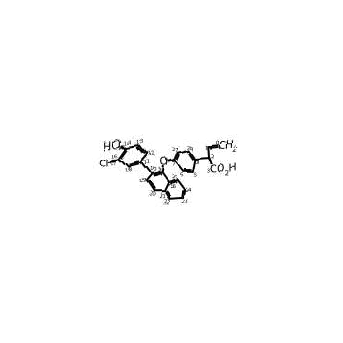 C=CC(C(=O)O)c1ccc(Oc2c(-c3ccc(O)c(Cl)c3)ccc3ccccc23)cc1